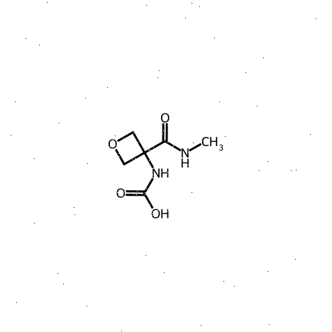 CNC(=O)C1(NC(=O)O)COC1